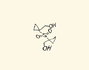 O=S(=O)(C1(CO)CC1)C1(CO)CC1